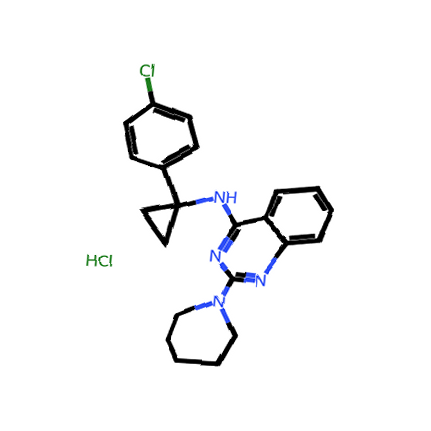 Cl.Clc1ccc(C2(Nc3nc(N4CCCCC4)nc4ccccc34)CC2)cc1